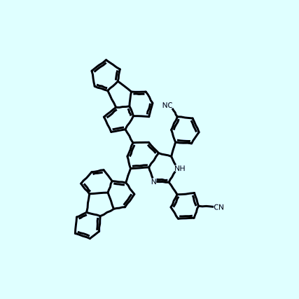 N#Cc1cccc(C2=Nc3c(C4=C5C=CC=C6c7ccccc7C(C=C4)C65)cc(-c4ccc5c6c(cccc46)-c4ccccc4-5)cc3C(c3cccc(C#N)c3)N2)c1